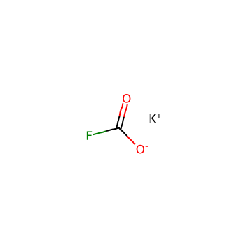 O=C([O-])F.[K+]